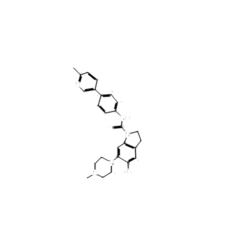 Cc1ccc(-c2ccc(NC(=O)N3CCc4cc(Br)c(N5CCN(C)CC5)cc43)cc2)cn1